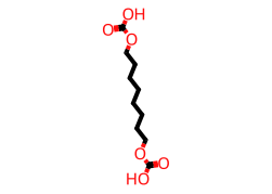 O=C(O)OCCCCCCCCOC(=O)O